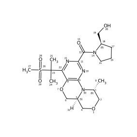 C[C@@H]1COC[C@H]2COc3c(nc(C(=O)N4CCC[C@@H]4CO)nc3C(C)(C)S(C)(=O)=O)N21